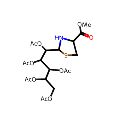 COC(=O)C1CSC(C(OC(C)=O)C(OC(C)=O)C(OC(C)=O)C(COC(C)=O)OC(C)=O)N1